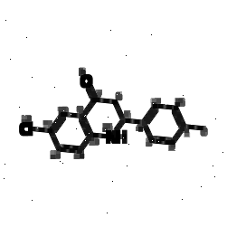 Cc1ccc(C2CC(=O)c3cc(Cl)ccc3N2)cc1